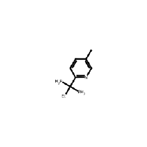 CCC(P)(P)c1ccc(C)cn1